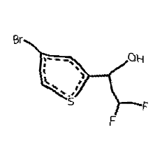 OC(c1cc(Br)cs1)C(F)F